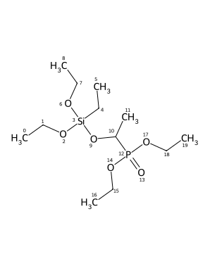 CCO[Si](CC)(OCC)OC(C)P(=O)(OCC)OCC